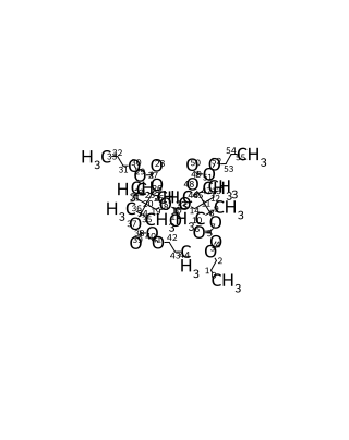 CCCOOC(=O)OC(C)(C)C(CC)(COC(=O)OCC(CC)(C(C)(C)OC(=O)OOCCC)C(C)(C)OC(=O)OOCCC)C(C)(C)OC(=O)OOCCC